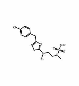 CCCCS(=O)(=O)N(C)CCN(CC)c1nc(Cc2ccc(Cl)cc2)ns1